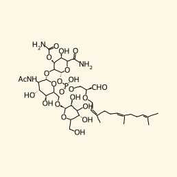 CC(=O)NC1[C@H](OC2[C@@H](OP(=O)(O)OC[C@@H](C=O)OC/C=C(/C)CC/C=C(\C)CCC=C(C)C)OC(C(N)=O)[C@H](O)[C@@H]2OC(N)=O)OC(CO[C@@H]2OC(CO)[C@@H](O)C(O)[C@@H]2O)[C@@H](O)[C@@H]1O